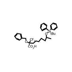 CC(CCCCC[C@@](OCc1ccccc1)(C(=O)O)C(F)(F)F)O[Si](c1ccccc1)(c1ccccc1)C(C)(C)C